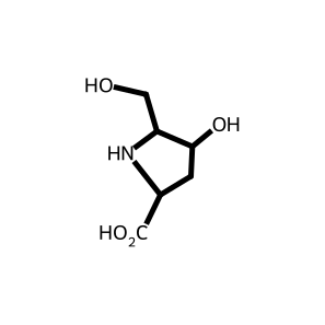 O=C(O)C1CC(O)C(CO)N1